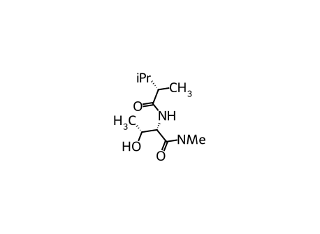 CNC(=O)[C@@H](NC(=O)[C@@H](C)C(C)C)[C@@H](C)O